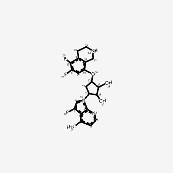 Cc1ccnc2c1c(F)cn2C1CC(Oc2cc(F)c(F)c3c2CNCC3)C(O)C1O